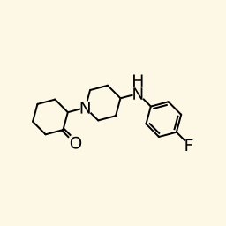 O=C1CCCCC1N1CCC(Nc2ccc(F)cc2)CC1